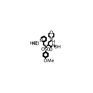 COc1ccc(S(=O)(=O)N(Cc2ccccn2)C(CCN2CCOCC2)C(=O)NO)cc1.Cl.Cl